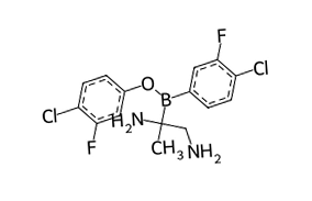 CC(N)(CN)B(Oc1ccc(Cl)c(F)c1)c1ccc(Cl)c(F)c1